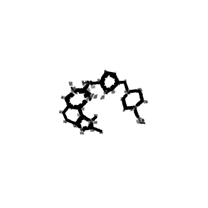 CCN1CCN(Cc2ccc(Nc3ncc4c(n3)-c3c(nc(C)n3C)CC4)nc2)CC1